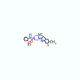 CCOc1ccccc1NC(=O)N1CCCN(c2nc3cc(F)c(C)cc3cc2C#N)CC1